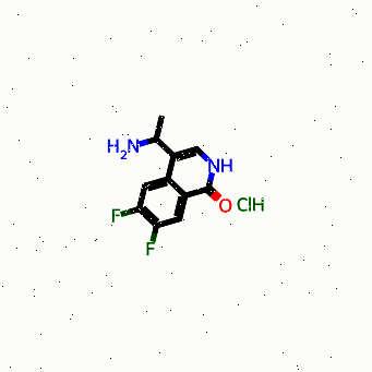 CC(N)c1c[nH]c(=O)c2cc(F)c(F)cc12.Cl